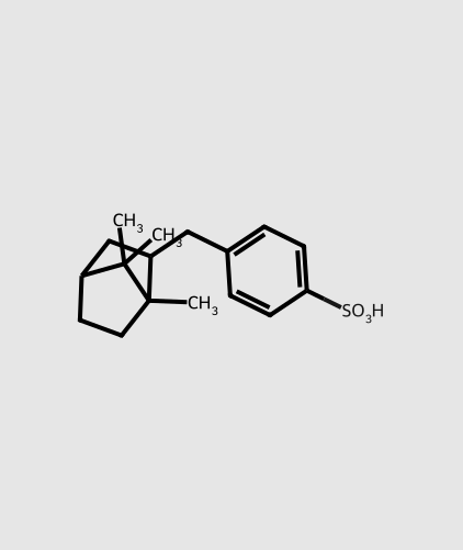 CC1(C)C2CCC1(C)C(Cc1ccc(S(=O)(=O)O)cc1)C2